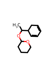 CC(OC1CCCCO1)C1C=CC=CC1